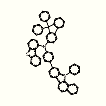 c1ccc(-n2c3cc(-c4ccc(N(c5ccc6c(c5)C(c5ccccc5)(c5ccccc5)c5ccccc5-6)c5cccc6sc7ccccc7c56)cc4)ccc3c3ccc4ccccc4c32)cc1